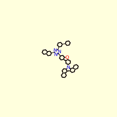 c1ccc(-c2cccc(-c3nc(-c4ccc5ccccc5c4)nc(-c4ccc5c(c4)oc4ccc(-n6c7ccc8ccccc8c7c7ccc8ccccc8c76)cc45)n3)c2)cc1